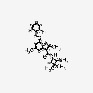 Cc1cc(OCc2c(F)cccc2F)n2nc(C)c(C(=O)NC3CC(C)(C)C3N)c2c1